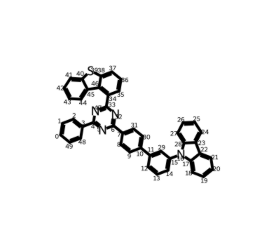 c1ccc(-c2nc(-c3ccc(-c4cccc(-n5c6ccccc6c6ccccc65)c4)cc3)nc(-c3cccc4sc5ccccc5c34)n2)cc1